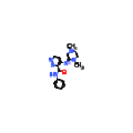 CN1CCN(C)/C(=N/c2ccnnc2C(=O)Nc2ccccc2)C1